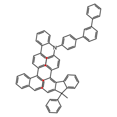 CC1(c2ccccc2)c2ccccc2-c2c(-c3ccc(N(c4ccc(-c5cccc(-c6ccccc6)c5)cc4)c4ccccc4-c4ccc(-c5cccc6ccccc56)cc4)cc3)cccc21